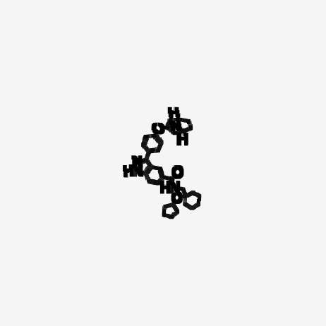 CN1[C@@H]2CC[C@H]1C[C@@H](Oc1ccc(-c3n[nH]c4ccc(C(=O)NCC5(OC6CCCC6)CCCCC5)cc34)cc1)C2